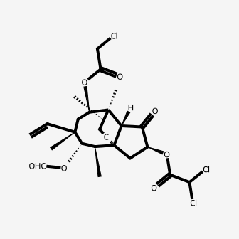 C=C[C@]1(C)C[C@@H](OC(=O)CCl)[C@]2(C)[C@H](C)CC[C@]3(C[C@H](OC(=O)C(Cl)Cl)C(=O)[C@H]32)[C@@H](C)[C@@H]1OC=O